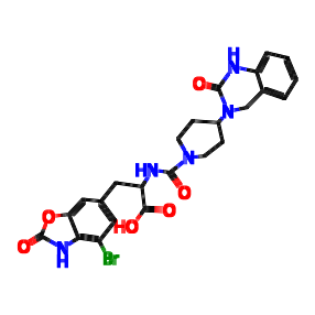 O=C(O)C(Cc1cc(Br)c2[nH]c(=O)oc2c1)NC(=O)N1CCC(N2Cc3ccccc3NC2=O)CC1